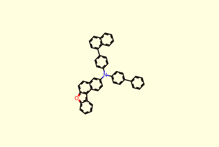 c1ccc(-c2ccc(N(c3ccc(-c4cccc5ccccc45)cc3)c3ccc4c(ccc5oc6ccccc6c54)c3)cc2)cc1